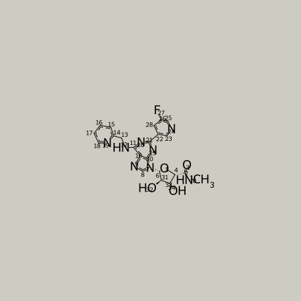 CNC(=O)[C@H]1O[C@@H](n2cnc3c(NCc4ccccn4)nc(-c4cncc(F)c4)nc32)[C@H](O)[C@@H]1O